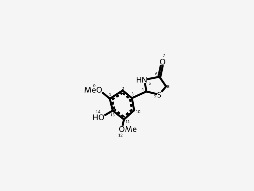 COc1cc(C2NC(=O)CS2)cc(OC)c1O